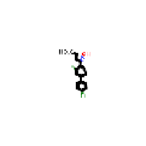 O=C(O)CC/C(=N\O)c1ccc(-c2ccc(Cl)cc2)cc1F